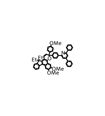 CCC1(CC)c2ccccc2-c2c1c1c(c3cc(OC)c(OC)cc23)OC(c2ccc(OC)cc2)(c2ccc(-c3cc(-c4ccccc4)cc(-c4ccccc4)n3)cc2)C=C1